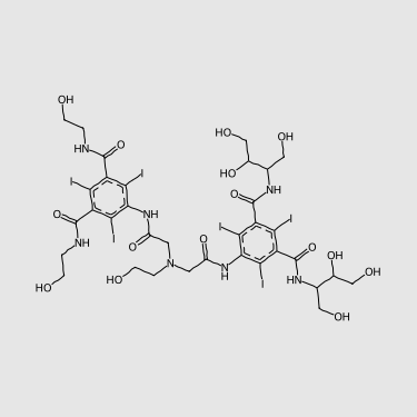 O=C(CN(CCO)CC(=O)Nc1c(I)c(C(=O)NC(CO)C(O)CO)c(I)c(C(=O)NC(CO)C(O)CO)c1I)Nc1c(I)c(C(=O)NCCO)c(I)c(C(=O)NCCO)c1I